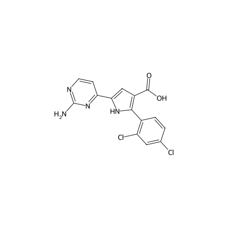 Nc1nccc(-c2cc(C(=O)O)c(-c3ccc(Cl)cc3Cl)[nH]2)n1